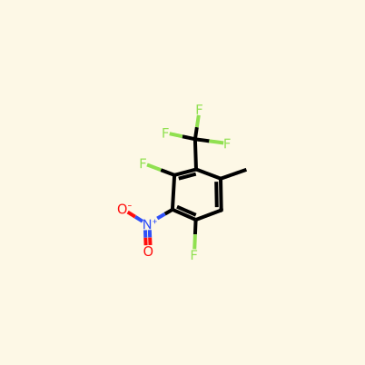 Cc1cc(F)c([N+](=O)[O-])c(F)c1C(F)(F)F